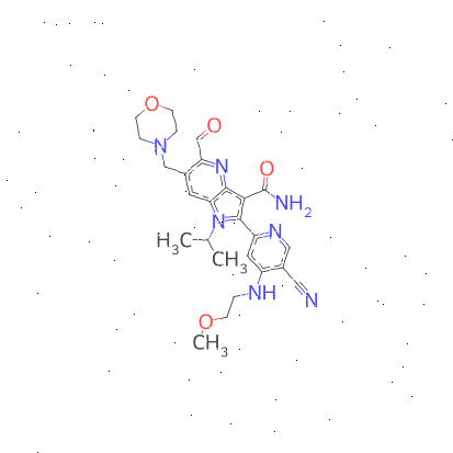 COCCNc1cc(-c2c(C(N)=O)c3nc(C=O)c(CN4CCOCC4)cc3n2C(C)C)ncc1C#N